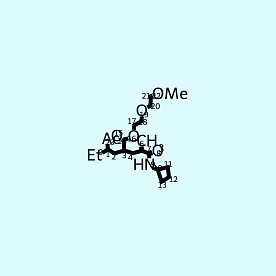 CCC(CC(CC(C)C(=O)NC1CCC1)C(=O)OCCOCCOC)C(C)=O